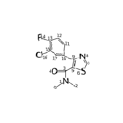 CN(C)C(=O)c1scnc1-c1ccc(F)c(Cl)c1